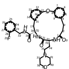 O=C1CCc2cccc(c2)Oc2cccc(c2)C[C@@H](C(=O)NCc2ccccc2F)NC(=O)[C@H](CCN2CCOCC2)N1